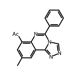 CC(=O)c1cc(C)cc2c1nc(-c1ccccc1)n1cnnc21